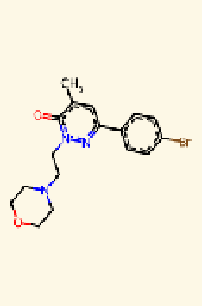 Cc1cc(-c2ccc(Br)cc2)nn(CCN2CCOCC2)c1=O